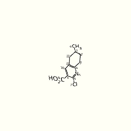 CC1CCc2nc(Cl)c(C(=O)O)cc2C1